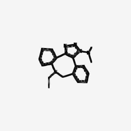 CCN1Cc2ccccc2-c2c(nnn2N(C)C)-c2ccccc21